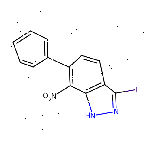 O=[N+]([O-])c1c(-c2ccccc2)ccc2c(I)n[nH]c12